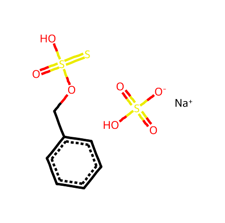 O=S(=O)([O-])O.O=S(O)(=S)OCc1ccccc1.[Na+]